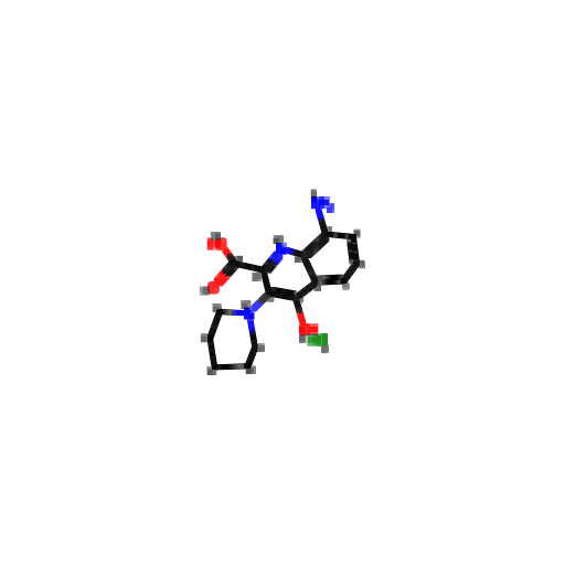 Cl.Nc1cccc2c(O)c(N3CCCCC3)c(C(=O)O)nc12